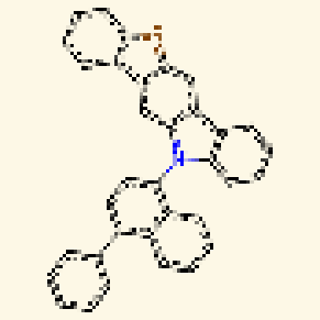 c1ccc(-c2ccc(-n3c4ccccc4c4cc5sc6ccccc6c5cc43)c3ccccc23)cc1